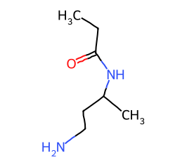 CCC(=O)NC(C)CCN